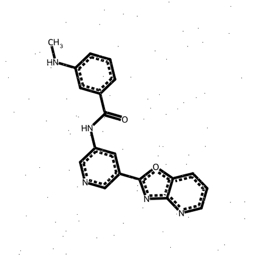 CNc1cccc(C(=O)Nc2cncc(-c3nc4ncccc4o3)c2)c1